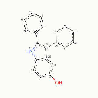 Oc1ccc2[nH]c(-c3ccccc3)c(-c3ccccc3)c2c1